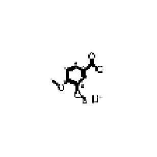 COc1ccc(C(=O)[O-])cc1OC.[Li+]